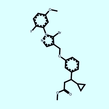 COC(=O)CC(c1cccc(OCc2cnn(-c3cc(OC)ccc3F)c2Br)c1)C1CC1